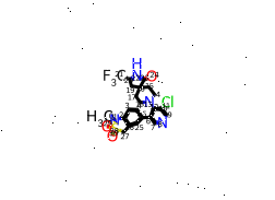 CN1c2ccc(-c3cncc(Cl)c3N3CCC4(CC3)CC(C(F)(F)F)NC4=O)cc2CS1(=O)=O